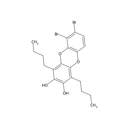 CCCCc1c(O)c(O)c(CCCC)c2c1Oc1ccc(Br)c(Br)c1O2